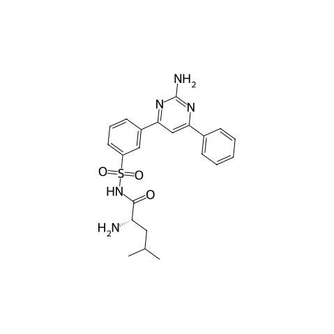 CC(C)C[C@H](N)C(=O)NS(=O)(=O)c1cccc(-c2cc(-c3ccccc3)nc(N)n2)c1